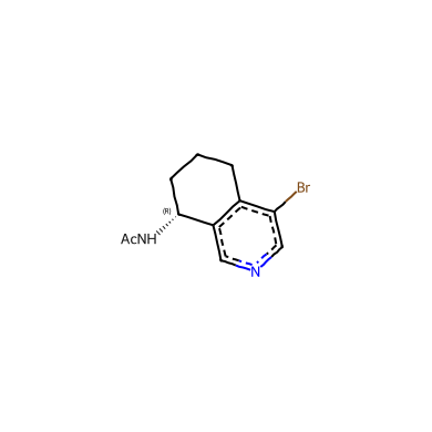 CC(=O)N[C@@H]1CCCc2c(Br)cncc21